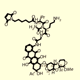 CO[C@H]1OCCN2[C@@H]1O[C@@H]1[C@H](C)O[C@@H](O[C@H]3C[C@](O)(C(C)=O)Cc4c(O)c5c(c(O)c43)C(=O)c3c(NC(=O)CNC(=O)[C@H](CCCN)N(C(N)=O)C(=O)[C@@H](NC(=O)CCCCCN4C(=O)C=CC4=O)C(C)C)cccc3C5=O)C[C@@H]12